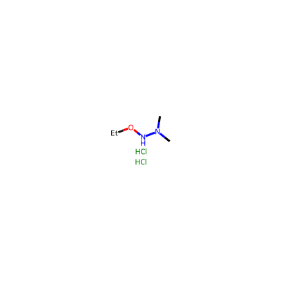 CCONN(C)C.Cl.Cl